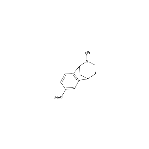 CCCN1CCC2CC1c1ccc(OC)cc12